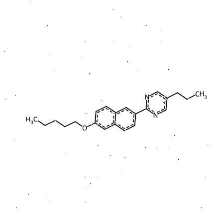 CCCCCOc1ccc2cc(-c3ncc(CCC)cn3)ccc2c1